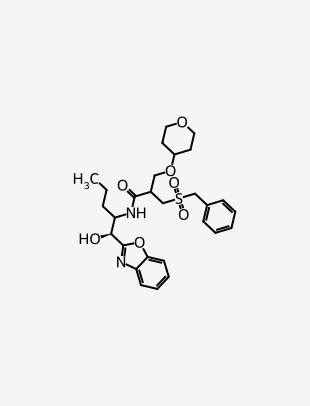 CCCC(NC(=O)C(COC1CCOCC1)CS(=O)(=O)Cc1ccccc1)[C@H](O)c1nc2ccccc2o1